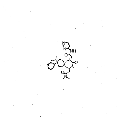 CC1C(=O)N(CC(=O)Nc2ccncn2)C[C@]2(CC[C@](c3ccccc3)(N(C)C)CC2)CC1CC(=O)N(C)C